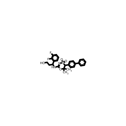 CC1(C)OC(NC(CCO)c2cccc(F)c2F)=NS(=O)(=O)C1c1ccc(-c2ccccc2)cc1